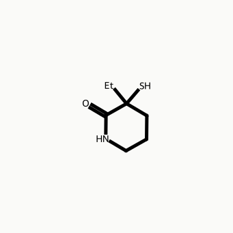 CCC1(S)CCCNC1=O